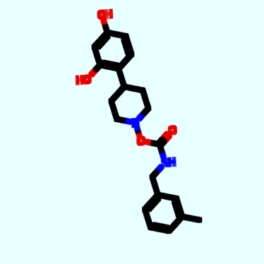 Cc1cccc(CNC(=O)ON2CCC(c3ccc(O)cc3O)CC2)c1